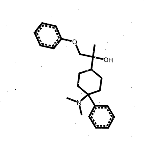 CN(C)C1(c2ccccc2)CCC(C(C)(O)COc2ccccc2)CC1